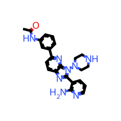 CC(=O)Nc1cccc(-c2ccc3nc(-c4cccnc4N)n(N4CCNCC4)c3n2)c1